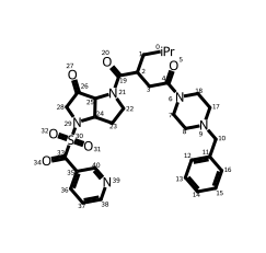 CC(C)CC(CC(=O)N1CCN(Cc2ccccc2)CC1)C(=O)N1CCC2C1C(=O)CN2S(=O)(=O)C(=O)c1cccnc1